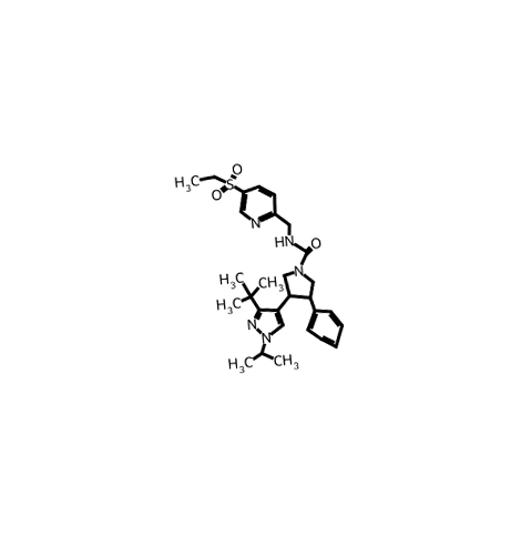 CCS(=O)(=O)c1ccc(CNC(=O)N2CC(c3ccccc3)C(c3cn(C(C)C)nc3C(C)(C)C)C2)nc1